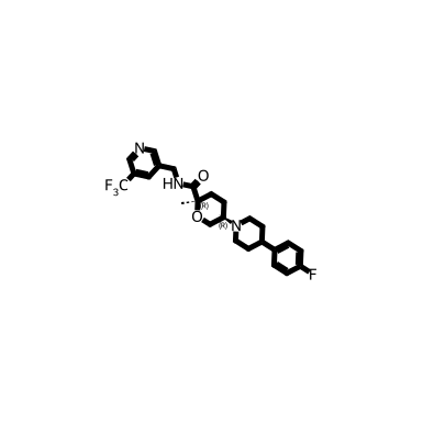 C[C@]1(C(=O)NCc2cncc(C(F)(F)F)c2)CC[C@@H](N2CCC(c3ccc(F)cc3)CC2)CO1